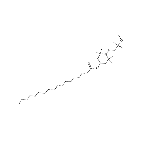 CCCCCCCCCCCCCCCCCC(=O)OC1CC(C)(C)N(OCC(C)(C)OC)C(C)(C)C1